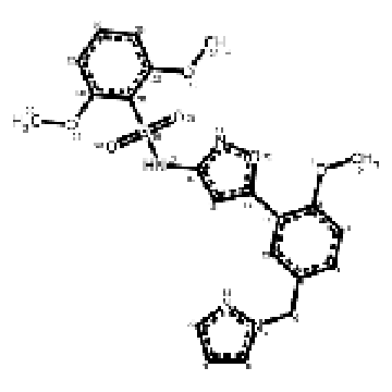 COc1ccc(Cn2cccn2)cc1-c1cc(NS(=O)(=O)c2c(OC)cccc2OC)no1